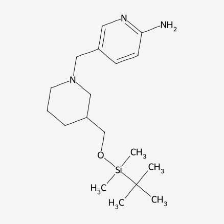 CC(C)(C)[Si](C)(C)OCC1CCCN(Cc2ccc(N)nc2)C1